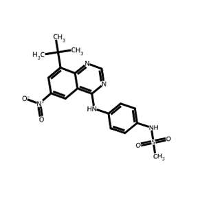 CC(C)(C)c1cc([N+](=O)[O-])cc2c(Nc3ccc(NS(C)(=O)=O)cc3)ncnc12